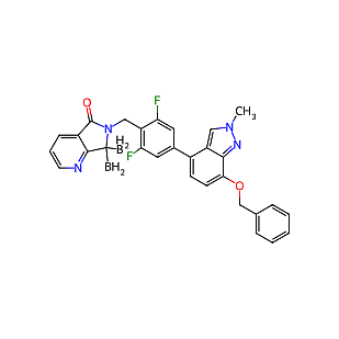 BC1(B)c2ncccc2C(=O)N1Cc1c(F)cc(-c2ccc(OCc3ccccc3)c3nn(C)cc23)cc1F